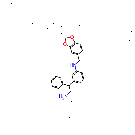 NCC(c1ccccc1)c1cccc(NCc2ccc3c(c2)OCO3)c1